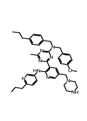 CCCc1ccc(CN(Cc2ccc(OC)cc2)c2nc(C)nc(-c3cc(CN4CCNCC4)cnc3Nc3ccc(CCC)nc3)n2)cc1